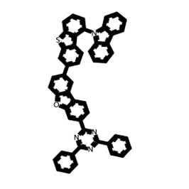 c1ccc(-c2nc(-c3ccccc3)nc(-c3ccc4c(c3)oc3ccc(-c5ccc6c(c5)sc5cccc(-n7c8ccccc8c8ccccc87)c56)cc34)n2)cc1